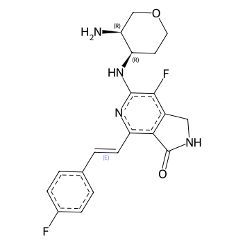 N[C@H]1COCC[C@H]1Nc1nc(/C=C/c2ccc(F)cc2)c2c(c1F)CNC2=O